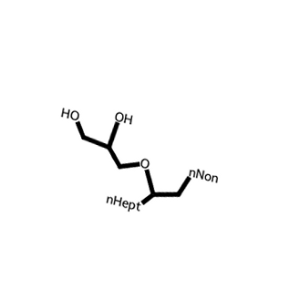 CCCCCCCCCCC(CCCCCCC)OCC(O)CO